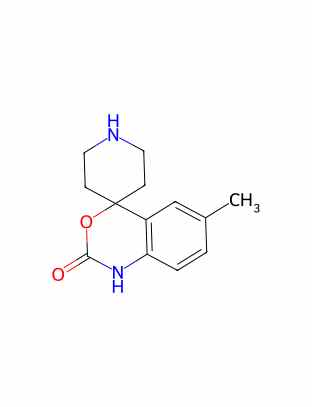 Cc1ccc2c(c1)C1(CCNCC1)OC(=O)N2